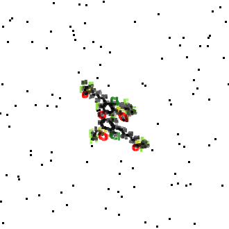 [O-][S+](CC(F)(F)F)c1cc(Oc2cc([S+]([O-])CC(F)(F)F)c(Cl)c(CCCCC[S+]([O-])C(F)(F)F)c2F)c(F)c(CCCCC[S+]([O-])C(F)(F)F)c1Cl